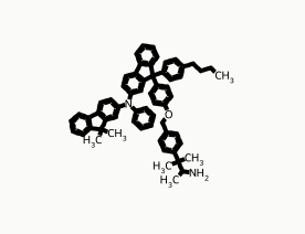 CCCCc1ccc(C2(c3ccc(OCc4ccc(C(C)(C)C(C)N)cc4)cc3)c3ccccc3-c3ccc(N(c4ccccc4)c4ccc5c(c4)C(C)(C)c4ccccc4-5)cc32)cc1